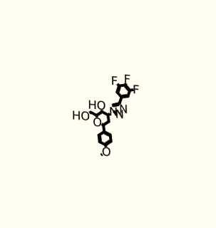 COc1ccc(C2CC(n3cc(-c4cc(F)c(F)c(F)c4)nn3)C(O)C(CO)O2)cc1